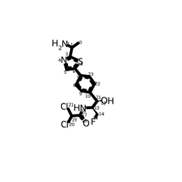 CC(N)c1ncc(-c2ccc([C@H](O)[C@@H](CF)NC(=O)C(Cl)Cl)cc2)s1